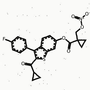 O=C(c1sc2cc(OC(=O)C3(CO[N+](=O)[O-])CC3)ccc2c1-c1ccc(F)cc1)C1CC1